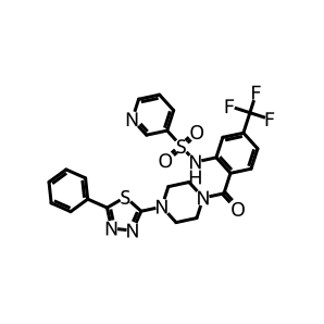 O=C(c1ccc(C(F)(F)F)cc1NS(=O)(=O)c1cccnc1)N1CCN(c2nnc(-c3ccccc3)s2)CC1